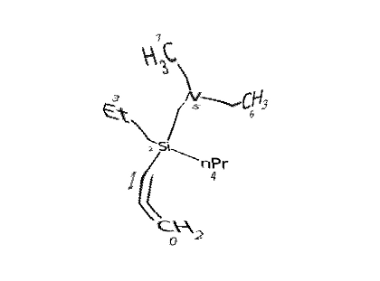 C=C[Si](CC)(CCC)N(C)C